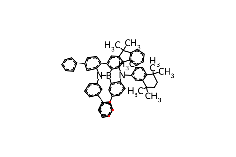 Cc1cc2c(cc1N1c3ccc(-c4ccccc4)cc3B3c4c(cc5c(c41)-c1ccccc1C5(C)C)-c1ccc(-c4ccccc4)cc1N3c1cccc(-c3ccccc3)c1)C(C)(C)CCC2(C)C